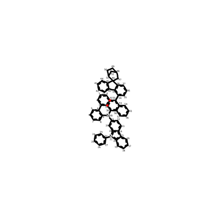 c1ccc(-c2ccccc2N(c2ccc3c4ccccc4n(-c4ccccc4)c3c2)c2ccc(-c3cccc4c3-c3ccccc3C43CC4CCC3C4)c3ccccc23)cc1